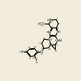 CC1NCCc2nc(NC3CC3)c(N3CCC(Oc4ccc(F)cc4F)CC3)nc21